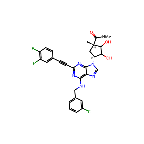 CNC(=O)[C@@]1(C)C[C@@H](n2cnc3c(NCc4cccc(Cl)c4)nc(C#Cc4ccc(F)c(F)c4)nc32)C(O)C1O